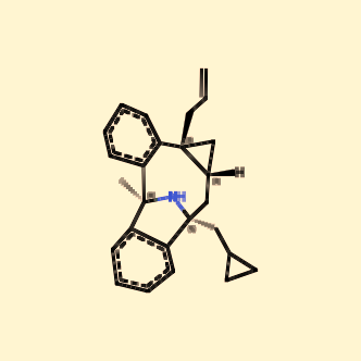 C=CC[C@@]12C[C@@H]1C[C@]1(CC3CC3)N[C@@](C)(c3ccccc31)c1ccccc12